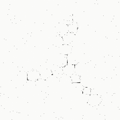 CCc1c(N2CCN(C(=O)c3ncnc(C)c3O)CC2)c(=O)n2nc(C3=CC4(CCNCC4)C3)nc2n1CC(=O)Nc1ccc(C(F)(F)F)cc1Cl